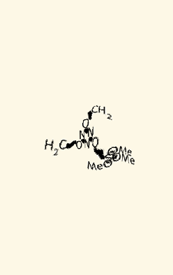 C=CCOc1nc(OCC=C)nc(OCCC[Si](OC)(OC)OC)n1